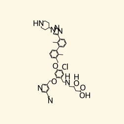 Cc1c(COc2cc(OCc3cncc(C#N)c3)c(CNC[C@@H](O)CC(=O)O)cc2Cl)cccc1-c1cccc(-c2cn(C3CCNCC3)nn2)c1C